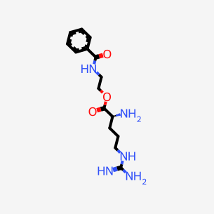 N=C(N)NCCC[C@H](N)C(=O)OCCNC(=O)c1ccccc1